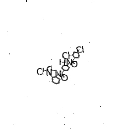 O=C(Nc1ccc(C(=O)N2Cc3ccc(Cl)n3Cc3ccccc32)cc1)c1ccc(Cl)cc1Cl